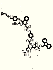 CCCCc1nc2c(NC(=O)OCc3ccc(NC(=O)[C@H](CCCNC(N)=O)NC(=O)[C@@H](NC(=O)OCC4c5ccccc5-c5ccccc54)C(C)C)cc3)nc3ccccc3c2n1Cc1ccc(CNCCC2CC2)cc1